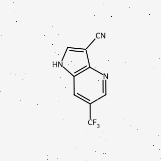 N#Cc1c[nH]c2cc(C(F)(F)F)cnc12